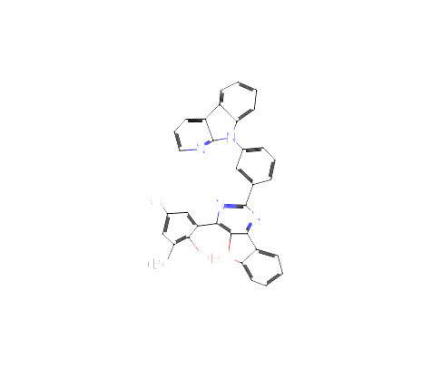 CC(C)(C)c1cc(-c2nc(-c3cccc(-n4c5ccccc5c5cccnc54)c3)nc3c2oc2ccccc23)c(O)c(C(C)(C)C)c1